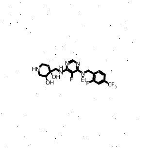 CCN(Cc1ccc(C(F)(F)F)cc1F)c1ncnc(NC[C@@]2(O)CCNC[C@@H]2O)c1F